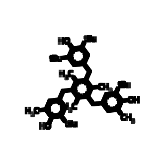 Cc1cc(Cc2c(C)c(Cc3cc(C)c(O)c(C(C)(C)C)c3)c(C)c(Cc3cc(C(C)(C)C)c(O)c(C(C)(C)C)c3)c2C)cc(C(C)(C)C)c1O